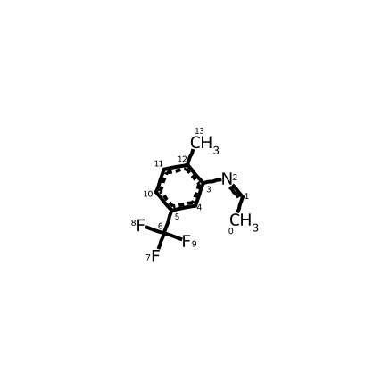 C/C=N\c1cc(C(F)(F)F)ccc1C